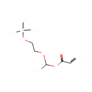 C=CC(=O)OC(C)OCCO[Si](C)(C)C